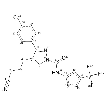 N#CCCCC1CN(C(=O)Nc2cc(C(F)(F)F)cs2)N=C1c1ccc(Cl)cc1